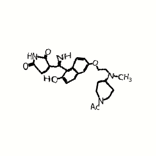 CC(=O)N1CCC(N(C)CCOc2ccc3c(C(=N)C4CCC(=O)NC4=O)c(O)ccc3c2)CC1